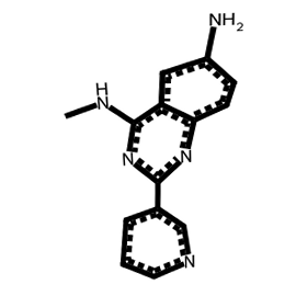 CNc1nc(-c2cccnc2)nc2ccc(N)cc12